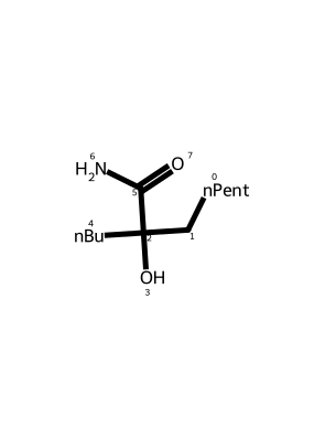 CCCCCCC(O)(CCCC)C(N)=O